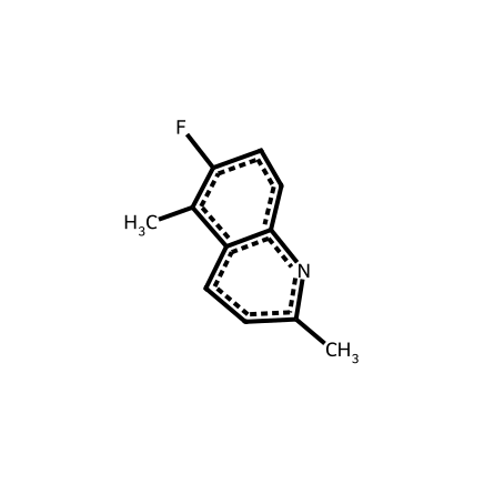 Cc1ccc2c(C)c(F)ccc2n1